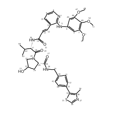 COc1cc(Nc2ncccc2/C=C/C(=O)N[C@H](C(=O)N2CC(O)C[C@H]2C(=O)NCc2ccc(-c3scnc3C)cc2)C(C)C)cc(OC)c1OC